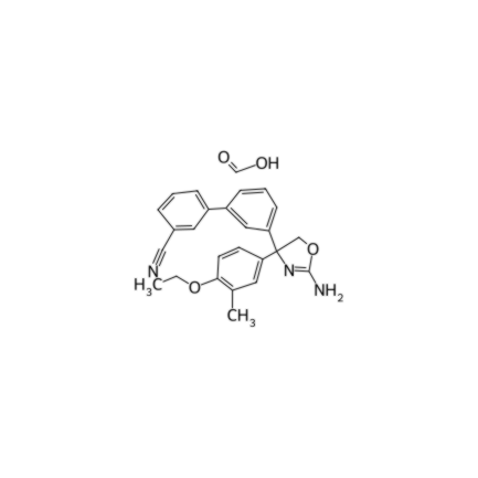 CCOc1ccc(C2(c3cccc(-c4cccc(C#N)c4)c3)COC(N)=N2)cc1C.O=CO